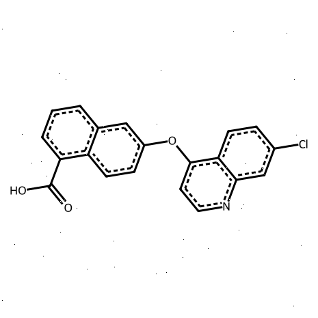 O=C(O)c1cccc2cc(Oc3ccnc4cc(Cl)ccc34)ccc12